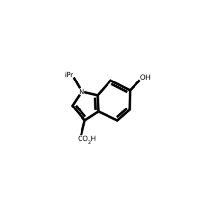 CC(C)n1cc(C(=O)O)c2ccc(O)cc21